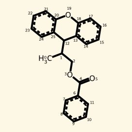 CC(COC(=O)c1ccccc1)C1c2ccccc2Oc2ccccc21